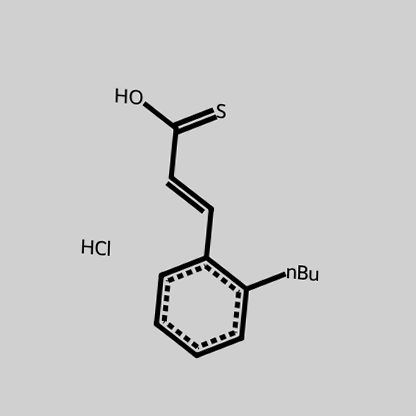 CCCCc1ccccc1C=CC(O)=S.Cl